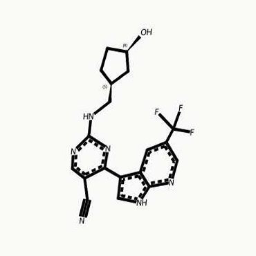 N#Cc1cnc(NC[C@H]2CC[C@@H](O)C2)nc1-c1c[nH]c2ncc(C(F)(F)F)cc12